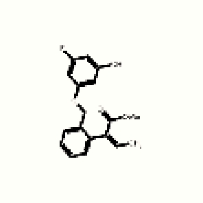 CC=C(C(=O)OC)c1ccccc1COc1cc(O)cc(F)c1